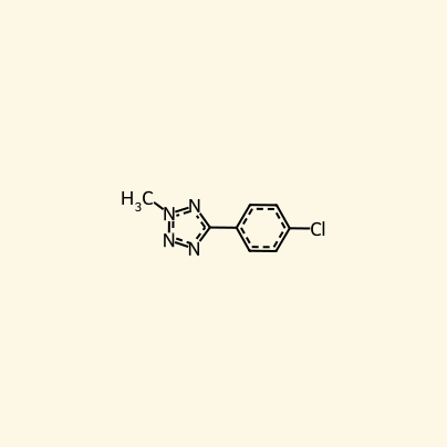 Cn1nnc(-c2ccc(Cl)cc2)n1